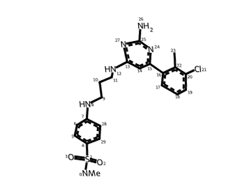 CNS(=O)(=O)c1ccc(NCCCNc2cc(-c3cccc(Cl)c3C)nc(N)n2)cc1